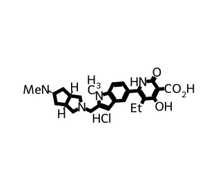 CCc1c(-c2ccc3c(c2)cc(CN2C[C@H]4C[C@H](NC)C[C@H]4C2)n3C)[nH]c(=O)c(C(=O)O)c1O.Cl